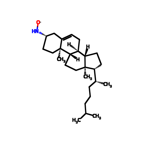 CC(C)CCC[C@@H](C)[C@H]1CC[C@H]2[C@@H]3CC=C4C[C@@H](N[O])CC[C@]4(C)[C@H]3CC[C@]12C